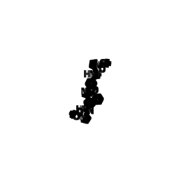 CC(C)(C)OC(=O)n1cccc1-c1ncc(-c2ccc3c(c2)O[C@@H](c2ccccc2)n2c(-c4ccc5nc(-c6cccn6C(=O)OC(C)(C)C)[nH]c5c4)cnc2-3)[nH]1